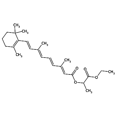 CCOC(=O)C(C)OC(=O)/C=C(C)/C=C/C=C(C)/C=C/C1=C(C)CCCC1(C)C